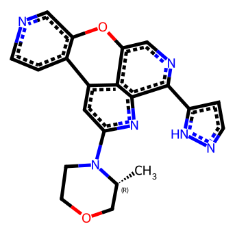 C[C@@H]1COCCN1c1cc2c3c(cnc(-c4ccn[nH]4)c3n1)Oc1cnccc1-2